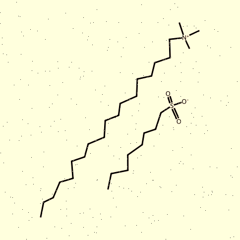 CCCCCCCCCCCCCCCCCC[N+](C)(C)C.CCCCCCCCS(=O)(=O)[O-]